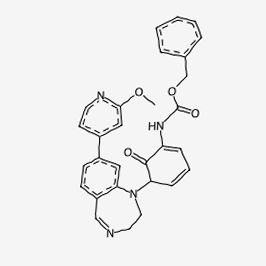 COc1cc(-c2ccc3c(c2)N(C2C=CC=C(NC(=O)OCc4ccccc4)C2=O)CCN=C3)ccn1